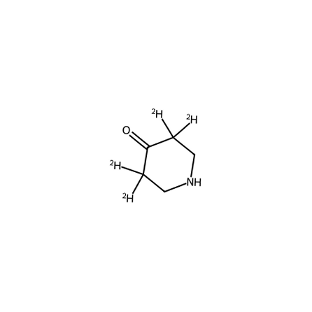 [2H]C1([2H])CNCC([2H])([2H])C1=O